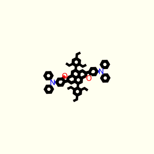 CCc1cc(CC)c(-c2cc3c4oc5cc(N(c6ccccc6)c6ccccc6)ccc5c4cc4c(-c5c(CC)cc(CC)cc5CC)cc5c6oc7cc(N(c8ccccc8)c8ccccc8)ccc7c6cc2c5c43)c(CC)c1